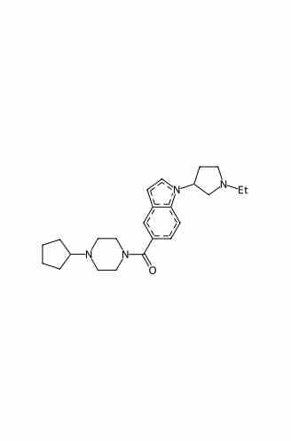 CCN1CCC(n2ccc3cc(C(=O)N4CCN(C5CCCC5)CC4)ccc32)C1